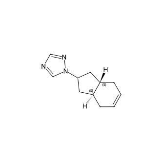 C1=CC[C@H]2CC(n3cncn3)C[C@@H]2C1